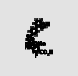 COc1cc(C(=O)O)c(F)cc1NS(=O)(=O)c1csc(-c2ccc(-c3cccc4[nH]ccc34)cc2)n1